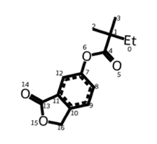 CCC(C)(C)C(=O)Oc1ccc2c(c1)C(=O)OC2